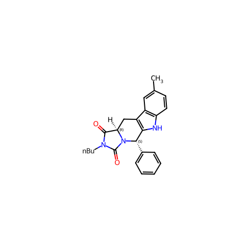 CCCCN1C(=O)[C@H]2Cc3c([nH]c4ccc(C)cc34)[C@H](c3ccccc3)N2C1=O